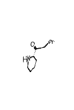 C[C](C)CC(=O)[C@@H]1CCCCN1